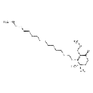 COCCCCCCCCCCCCCCCC1=C(COC)C(=O)CCC1(C)C